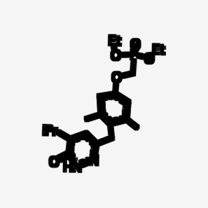 CCOP(=O)(COc1cc(C)c(Cc2cc(C(C)C)c(=O)[nH]n2)c(C)c1)OCC